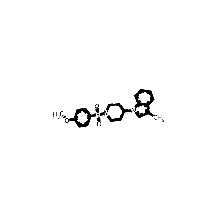 COc1ccc(S(=O)(=O)N2CCC(n3cc(C)c4ccccc43)CC2)cc1